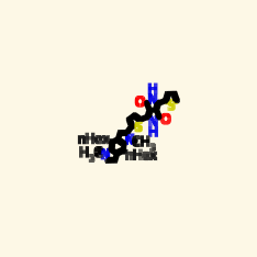 CCCCCCc1c2cc(-c3ccc(C4=C5C(=O)NC(c6cccs6)=C5C(=O)N4)s3)n(C)c2c(CCCCCC)c2ccn(C)c12